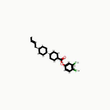 C/C=C/C[C@H]1CC[C@H](C2CCC(C(=O)Oc3ccc(F)c(F)c3)CC2)CC1